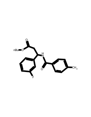 CCCCOC(=O)CC(NC(=O)c1ccc(C)cc1)c1cccc(F)c1